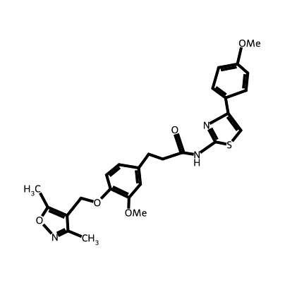 COc1ccc(-c2csc(NC(=O)CCc3ccc(OCc4c(C)noc4C)c(OC)c3)n2)cc1